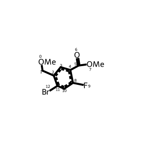 COCc1cc(C(=O)OC)c(F)cc1Br